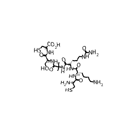 CC(C)(NC(=O)[C@H](CCCNC(N)=O)NC(=O)[C@H](CCCCN)NC(=O)[C@@H](N)CS)C(=O)N[C@@H](CO)C(=O)N[C@@H](CS)C(=O)O